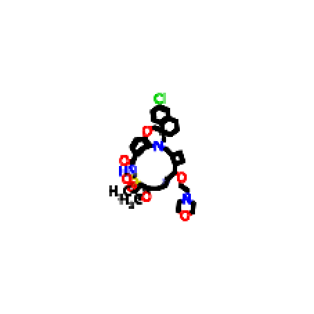 CC[C@@H]1[C@H](OC)C/C=C/C(OCCN2CCOCC2)C2CCC2CN2C[C@@]3(CCCc4cc(Cl)ccc43)COc3ccc(cc32)C(=O)NS1(=O)=O